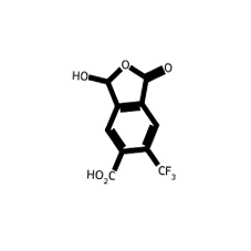 O=C1OC(O)c2cc(C(=O)O)c(C(F)(F)F)cc21